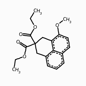 CCOC(=O)C1(C(=O)OCC)Cc2cccc3ccc(OC)c(c23)C1